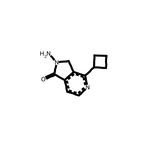 NN1Cc2c(ccnc2C2CCC2)C1=O